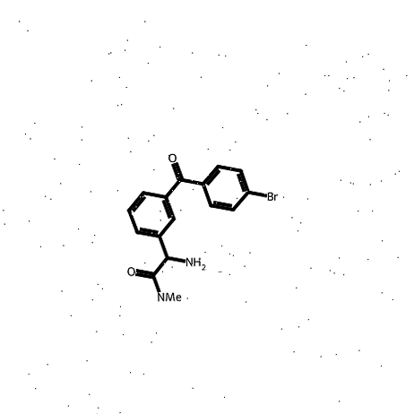 CNC(=O)C(N)c1cccc(C(=O)c2ccc(Br)cc2)c1